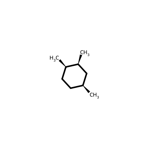 C[C@H]1CC[C@@H](C)[C@@H](C)C1